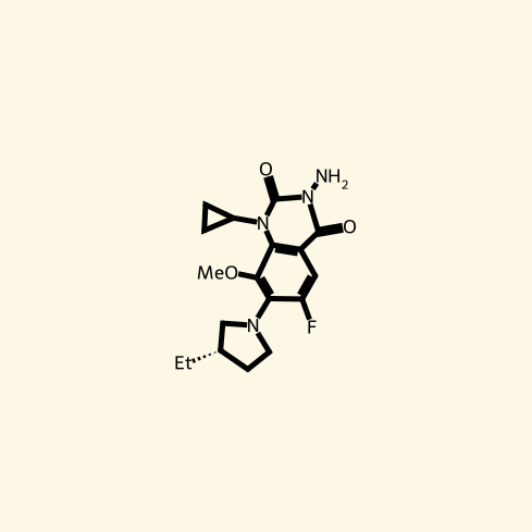 CC[C@H]1CCN(c2c(F)cc3c(=O)n(N)c(=O)n(C4CC4)c3c2OC)C1